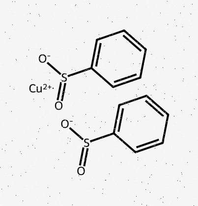 O=S([O-])c1ccccc1.O=S([O-])c1ccccc1.[Cu+2]